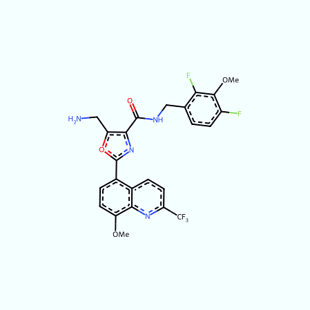 COc1c(F)ccc(CNC(=O)c2nc(-c3ccc(OC)c4nc(C(F)(F)F)ccc34)oc2CN)c1F